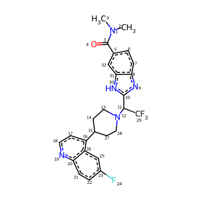 CN(C)C(=O)c1ccc2nc(C(N3CCC(c4ccnc5ccc(F)cc45)CC3)C(F)(F)F)[nH]c2c1